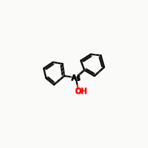 O[As](c1ccccc1)c1ccccc1